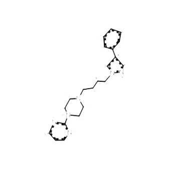 c1ccc(-c2cnn(CCCCN3CCN(c4ncccn4)CC3)c2)cc1